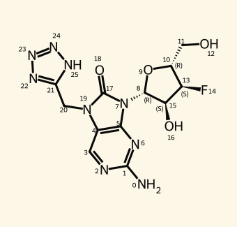 Nc1ncc2c(n1)n([C@@H]1O[C@H](CO)[C@@H](F)[C@H]1O)c(=O)n2Cc1nnn[nH]1